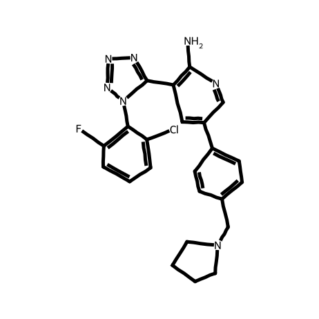 Nc1ncc(-c2ccc(CN3CCCC3)cc2)cc1-c1nnnn1-c1c(F)cccc1Cl